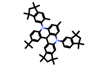 Cc1cc2c3c(c1)N(c1cc4c(cc1C)C(C)(C)CC4(C)C)c1ccc(C(C)(C)C)cc1C3c1cc3c(cc1N2c1ccc2c(c1)C(C)(C)CC2(C)C)C(C)(C)CC3(C)C